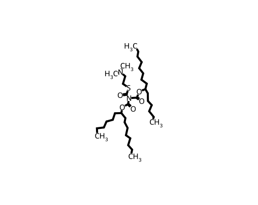 CCCCCCCCC(CCCCCC)OC(=O)N(C(=O)OC(CCCCCC)CCCCCCCC)C(=O)SCCN(C)C